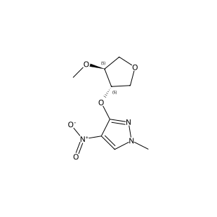 CO[C@H]1COC[C@@H]1Oc1nn(C)cc1[N+](=O)[O-]